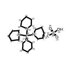 C1CCN([PH](N2CCCCC2)(N2CCCCC2)N2CCCCC2)CC1.CS(=O)(=O)O